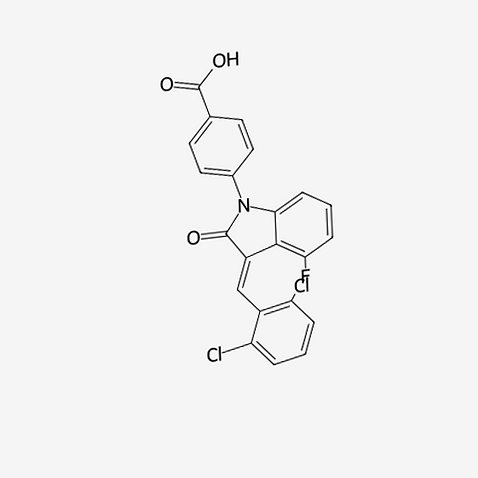 O=C(O)c1ccc(N2C(=O)/C(=C/c3c(Cl)cccc3Cl)c3c(F)cccc32)cc1